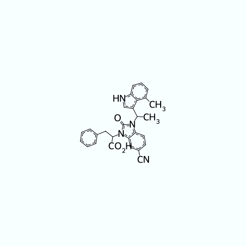 Cc1cccc2[nH]cc(C(C)n3c(=O)n(C(Cc4ccccc4)C(=O)O)c4cc(C#N)ccc43)c12